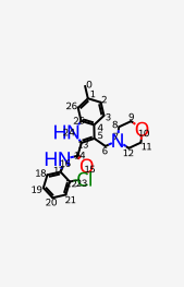 Cc1ccc2c(CN3CCOCC3)c(C(=O)Nc3ccccc3Cl)[nH]c2c1